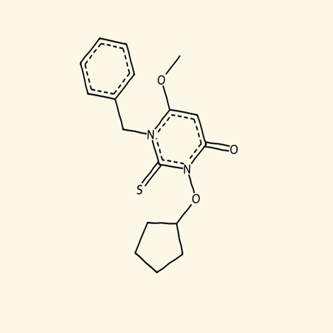 COc1cc(=O)n(OC2CCCC2)c(=S)n1Cc1ccccc1